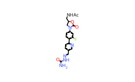 CC(=O)NCC1CN(c2ccc(-c3ccc(C=NNC(N)=O)cn3)c(F)c2)C(=O)O1